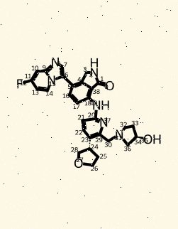 O=C1NCc2c(-c3cnc4cc(F)ccn34)ccc(Nc3ccc([C@@H]4CCOC4)c(CN4CC[C@@H](O)C4)n3)c21